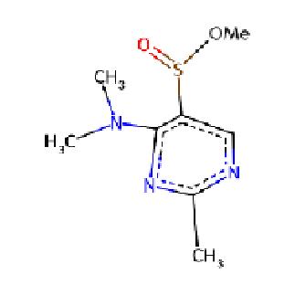 COS(=O)c1cnc(C)nc1N(C)C